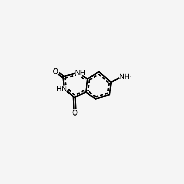 [NH]c1ccc2c(=O)[nH]c(=O)[nH]c2c1